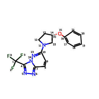 FC(F)(F)c1nnc2ccc(N3CC[C@H](Oc4ccccc4)C3)nn12